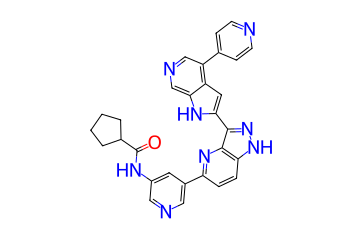 O=C(Nc1cncc(-c2ccc3[nH]nc(-c4cc5c(-c6ccncc6)cncc5[nH]4)c3n2)c1)C1CCCC1